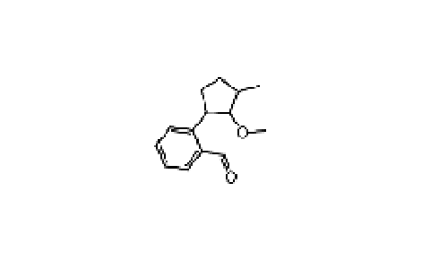 COC1C(C)CCC1c1ccccc1C=O